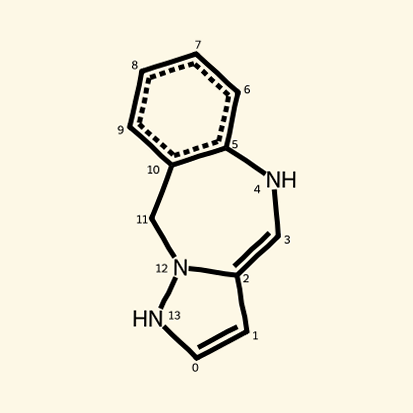 C1=CC2=CNc3ccccc3CN2N1